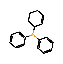 C1=CC(P(c2ccccc2)c2ccccc2)CCC1